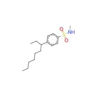 CCCCCCC(CC)c1ccc(S(=O)(=O)NC)cc1